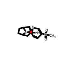 CS(=O)(=O)c1ccc(N2C3CCC2CC(N)C3)nc1